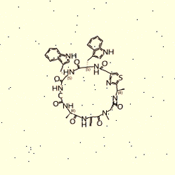 C=C1NC(=O)[C@@H](C)NC(=O)CNC(=O)[C@H](Cc2c[nH]c3ccccc23)NC(=O)[C@H](Cc2c[nH]c3ccccc23)NC(=O)c2csc(n2)[C@@H](C)NC(=O)CN(C)C1=O